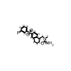 CN(CC1CCCc2cc(S(=O)(=O)c3cccc(F)c3)ccc21)C(N)=O